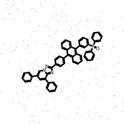 O=P(c1ccccc1)(c1ccccc1)c1cccc(-c2c3ccccc3c(-c3ccc(-c4nc5c(-c6ccccc6)cc(-c6ccccc6)cn5n4)cc3)c3ccccc23)c1